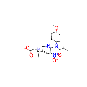 COC(=O)/C=C(\C)c1cnc(N(CC(C)C)[C@H]2CC[C@@H](OC)CC2)c([N+](=O)[O-])c1